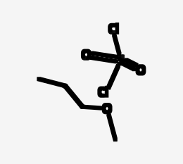 CCCOC.O=S(=O)(Cl)Cl